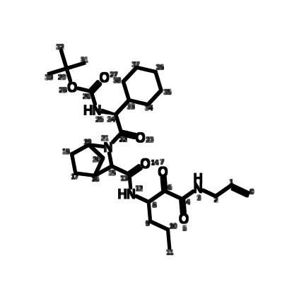 C=CCNC(=O)C(=O)C(CCC)NC(=O)C1C2CCC(C2)N1C(=O)[C@@H](NC(=O)OC(C)(C)C)C1CCCCC1